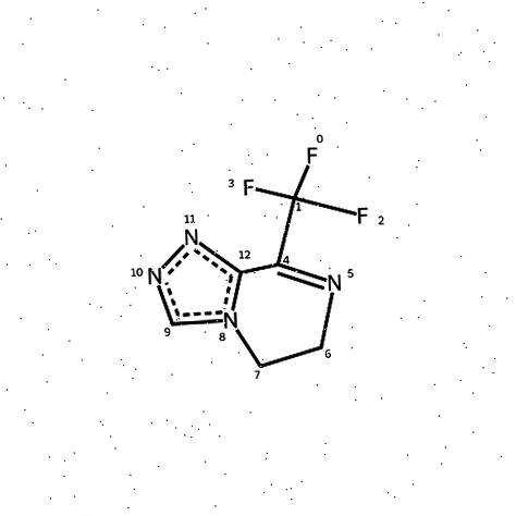 FC(F)(F)C1=NCCn2cnnc21